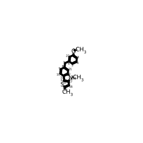 COc1cccc(Cc2ccc3c4sc(C)cc4n(C)c3c2)c1